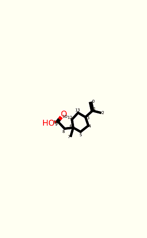 C=C(C)C1CCC(C)(CC(=O)O)CC1